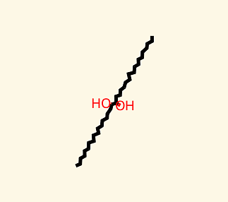 CCCCCCCCCCCCCCCCCC(O)C(O)CCCCCCCCCCCCCCCC